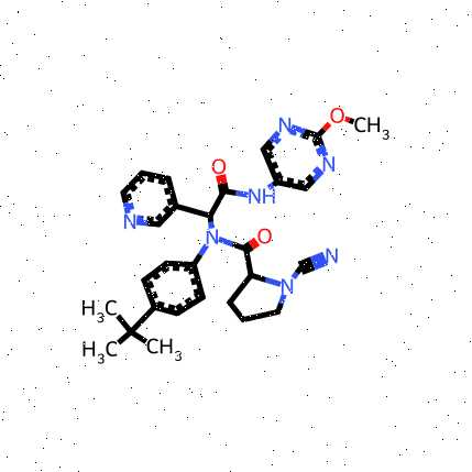 COc1ncc(NC(=O)C(c2cccnc2)N(C(=O)C2CCCN2C#N)c2ccc(C(C)(C)C)cc2)cn1